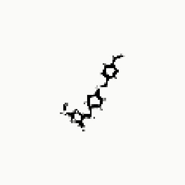 CCc1ccc(COc2ccc(/C=C3\SC(SC)=NC3=O)cc2)cc1